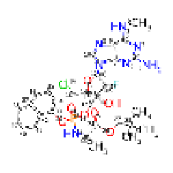 CNc1nc(N)nc2c1ncn2[C@@H]1O[C@]2(CCl)C(OP(=O)(N[C@H](C)C(=O)OCC(C)(C)C)Oc3cccc4ccccc34)[C@]2(O)[C@H]1F